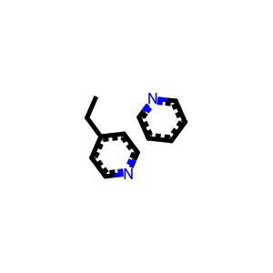 CCc1ccncc1.c1ccncc1